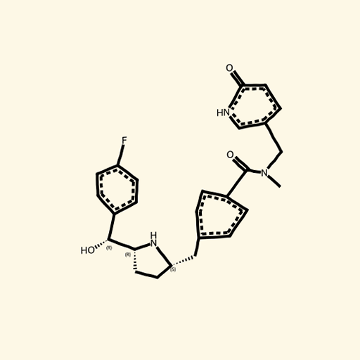 CN(Cc1ccc(=O)[nH]c1)C(=O)c1ccc(C[C@@H]2CC[C@H]([C@H](O)c3ccc(F)cc3)N2)cc1